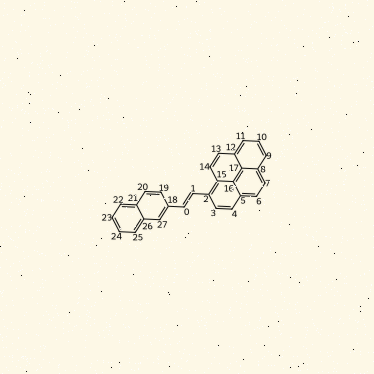 C(=Cc1ccc2ccc3cccc4ccc1c2c34)c1ccc2ccccc2c1